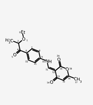 CCOC(C)C(=O)c1ccc(NC=C2C(=O)C=C(C)OC2=O)cc1